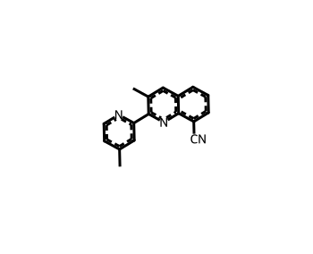 Cc1ccnc(-c2nc3c(C#N)cccc3cc2C)c1